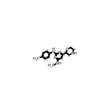 Cc1ccc(Nc2nc(NN)cc(C3CNCCO3)n2)cc1